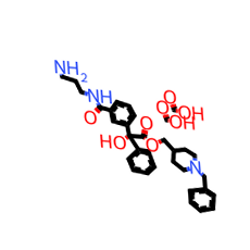 NCCCNC(=O)c1cccc(C(O)(C(=O)OCC2CCN(Cc3ccccc3)CC2)c2ccccc2)c1.O=CO.O=CO